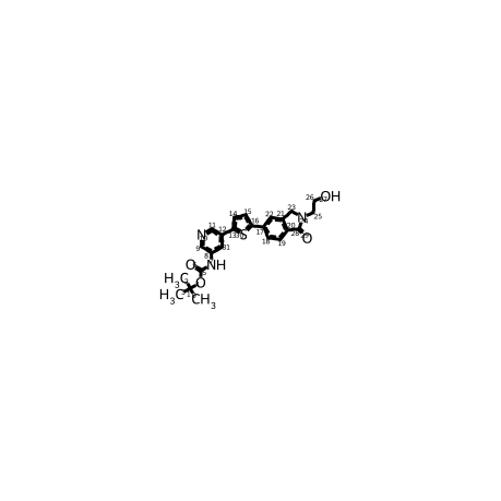 CC(C)(C)OC(=O)Nc1cncc(-c2ccc(-c3ccc4c(c3)CN(CCO)C4=O)s2)c1